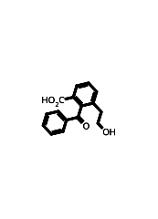 O=C(O)c1cccc(CCO)c1C(=O)c1ccccc1